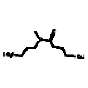 CCCCCCCCCCCC(=O)N(C)CCCS(=O)(=O)O